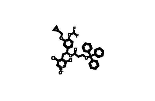 O=C(CCOC(c1ccccc1)(c1ccccc1)c1ccccc1)OC(Cc1c(Cl)c[n+]([O-])cc1Cl)c1ccc(OC(F)F)c(OCC2CC2)c1